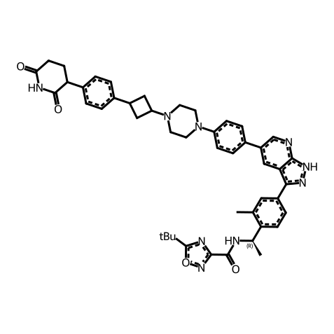 Cc1cc(-c2n[nH]c3ncc(-c4ccc(N5CCN(C6CC(c7ccc(C8CCC(=O)NC8=O)cc7)C6)CC5)cc4)cc23)ccc1[C@@H](C)NC(=O)c1noc(C(C)(C)C)n1